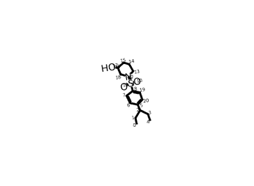 CCC(CC)c1ccc(S(=O)(=O)N2CCCC(O)C2)cc1